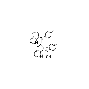 Cc1ccc(Nc2cccc3cccnc23)cc1.Cc1ccc(Nc2cccc3cccnc23)cc1.[Cd]